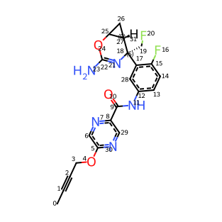 CC#CCOc1cnc(C(=O)Nc2ccc(F)c([C@@]3(CF)N=C(N)OC4C[C@@H]43)c2)cn1